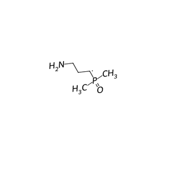 CP(C)(=O)[CH]CCN